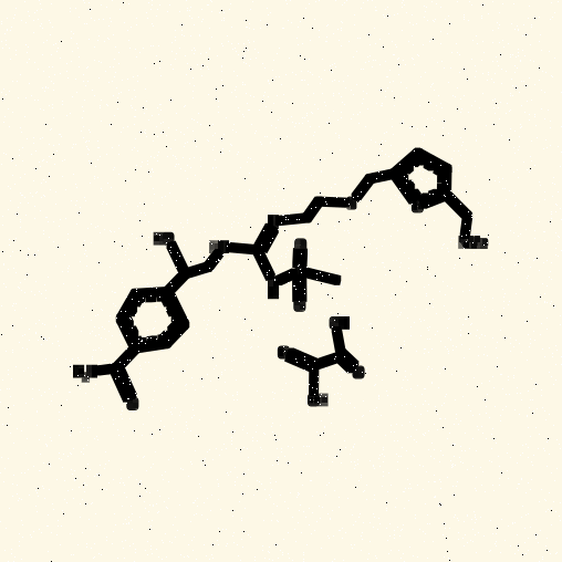 CNCc1ccc(CSCCN=C(NCC(O)c2ccc(C(N)=O)cc2)NS(C)(=O)=O)o1.O=C(O)C(=O)O